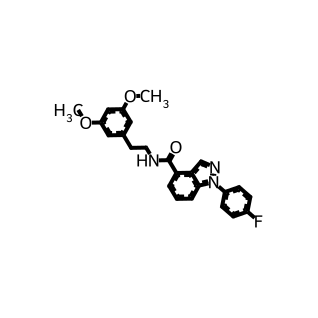 COc1cc(CCNC(=O)c2cccc3c2cnn3-c2ccc(F)cc2)cc(OC)c1